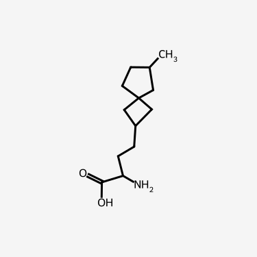 CC1CCC2(C1)CC(CCC(N)C(=O)O)C2